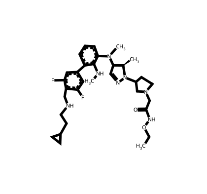 CCONC(=O)CN1CCC(N2N=CC(N(C)c3cccc(-c4cc(F)c(CNCCC5CC5)c(F)c4)c3NC)[C@H]2C)C1